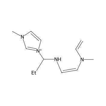 C=CN(C)/C=C\NC(CC)[n+]1ccn(C)c1